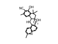 Cc1ccc2c(NC3c4cc(C)c(C#N)c(O)c4C(C)(C)CC3(O)C(F)(F)F)c(C)ccc2n1